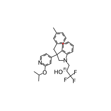 Cc1cccc(CC2(c3ccnc(OC(C)C)c3)CN(C[C@@H](O)C(F)(F)F)c3ccccc32)c1